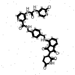 O=C1CCC(C2C(=O)c3cccc(NCc4ccc(CNC(=O)c5cc(NC(=O)Nc6ccnc(Cl)c6)ccn5)cc4)c3C2=O)C(=O)N1